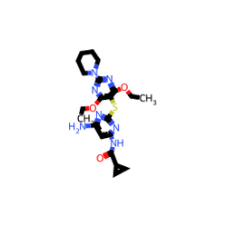 CCOc1nc(N2CCCCC2)nc(OCC)c1Sc1nc(N)cc(NC(=O)C2CC2)n1